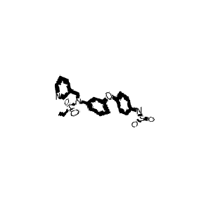 CCS(=O)(=O)N(Cc1cccnc1)c1cccc(Oc2ccc(N=S(=O)=O)cc2)c1